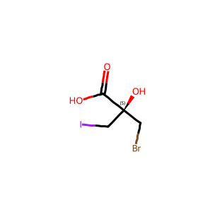 O=C(O)[C@](O)(CBr)CI